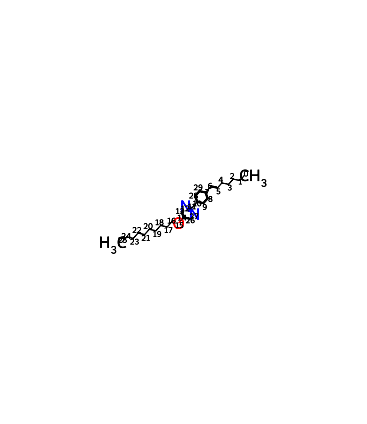 CCCCCC=Cc1ccc(-c2ncc(OCCCCCCCCCC)cn2)cc1